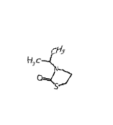 CC(C)N1CCCSC1=O